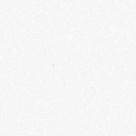 Cc1cc(-c2ccc(CNC(=O)c3cn4cc(C#N)ccc4n3)cc2)ccn1